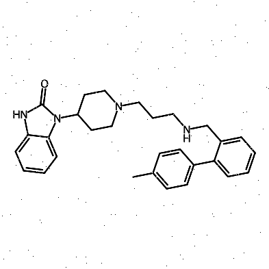 Cc1ccc(-c2ccccc2CNCCCN2CCC(n3c(=O)[nH]c4ccccc43)CC2)cc1